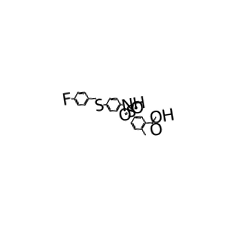 Cc1ccc(S(=O)(=O)Nc2ccc(SCc3ccc(F)cc3)cc2)cc1C(=O)O